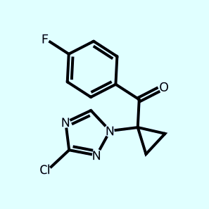 O=C(c1ccc(F)cc1)C1(n2cnc(Cl)n2)CC1